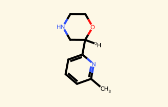 [2H]C1(c2cccc(C)n2)CNCCO1